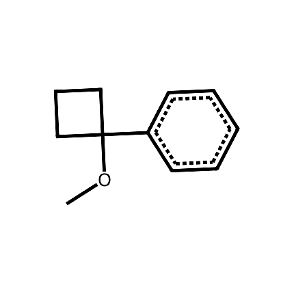 COC1(c2ccccc2)CCC1